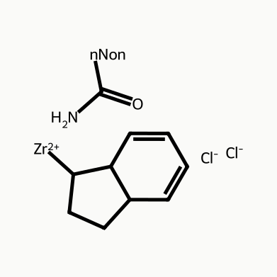 CCCCCCCCCC(N)=O.[Cl-].[Cl-].[Zr+2][CH]1CCC2C=CC=CC12